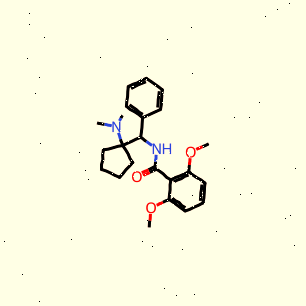 COc1cccc(OC)c1C(=O)NC(c1ccccc1)C1(N(C)C)CCCC1